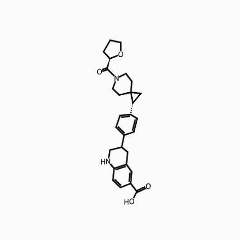 O=C(O)c1ccc2c(c1)CC(c1ccc([C@H]3CC34CCN(C(=O)[C@H]3CCCO3)CC4)cc1)CN2